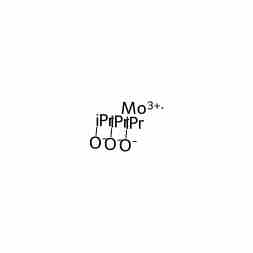 CC(C)[O-].CC(C)[O-].CC(C)[O-].[Mo+3]